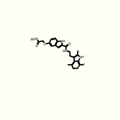 CNC(=O)COc1ccc2[nH]c(C(=O)NCCc3c(C)[nH]c4c3=C(C)CCC=4F)cc2c1